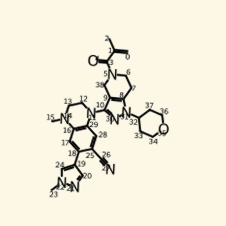 C=C(C)C(=O)N1CCc2c(c(N3CCN(C)c4cc(-c5cnn(C)c5)c(C#N)cc43)nn2C2CCOCC2)C1